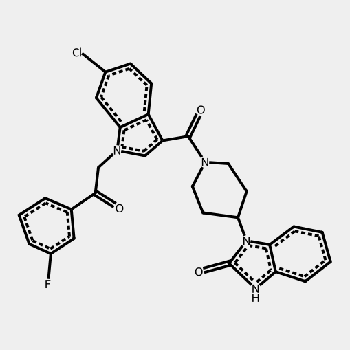 O=C(Cn1cc(C(=O)N2CCC(n3c(=O)[nH]c4ccccc43)CC2)c2ccc(Cl)cc21)c1cccc(F)c1